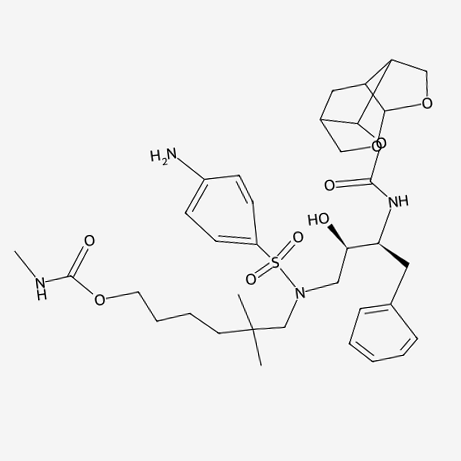 CNC(=O)OCCCCC(C)(C)CN(C[C@@H](O)[C@H](Cc1ccccc1)NC(=O)OC1C2COC3OCC1C3C2)S(=O)(=O)c1ccc(N)cc1